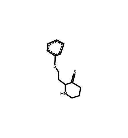 S=C1CCCNC1CCSc1ccccc1